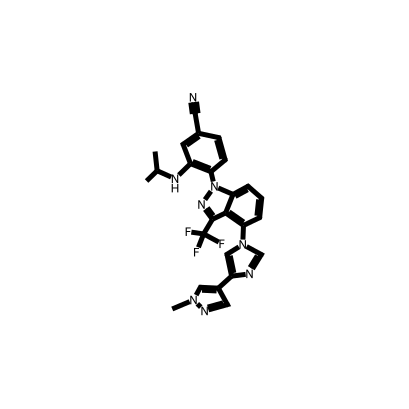 CC(C)Nc1cc(C#N)ccc1-n1nc(C(F)(F)F)c2c(-n3cnc(-c4cnn(C)c4)c3)cccc21